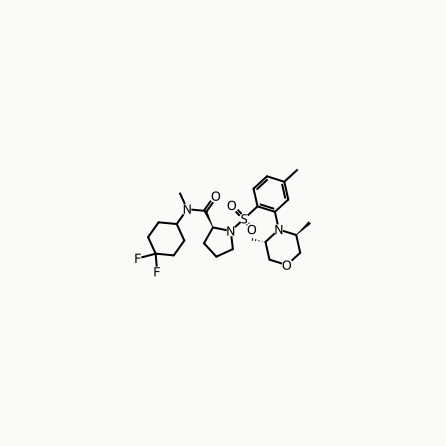 Cc1ccc(S(=O)(=O)N2CCC[C@H]2C(=O)N(C)C2CCC(F)(F)CC2)c(N2[C@@H](C)COC[C@@H]2C)c1